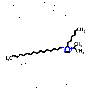 CCCCCCCCCCCCCCCCN1C=CN(C(C)C)C1CCCCCC